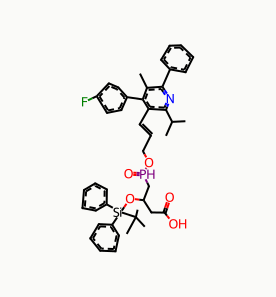 Cc1c(-c2ccccc2)nc(C(C)C)c(C=CCO[PH](=O)CC(CC(=O)O)O[Si](c2ccccc2)(c2ccccc2)C(C)(C)C)c1-c1ccc(F)cc1